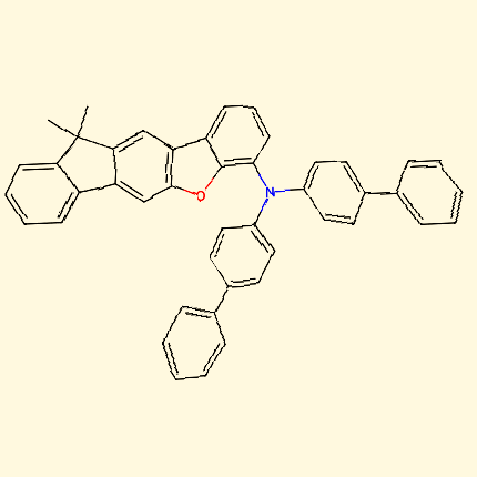 CC1(C)c2ccccc2-c2cc3oc4c(N(c5ccc(-c6ccccc6)cc5)c5ccc(-c6ccccc6)cc5)cccc4c3cc21